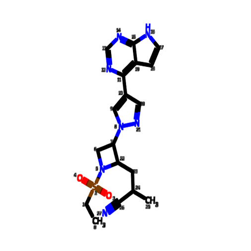 CCS(=O)(=O)N1CC(n2cc(-c3ncnc4[nH]ccc34)cn2)C1CC(C)C#N